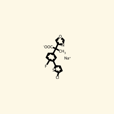 CC(C(=O)[O-])(c1ccc(F)c(-c2ccc(Cl)s2)c1)c1cocn1.[Na+]